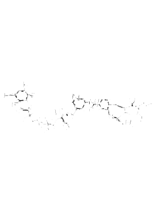 CCCN(CCC)C(=O)C1=Cc2ccc(C(=O)Nc3cncc(CNC(=O)CCC(C)(CC)OCCC(C)(C)C(=O)Oc4c(F)c(F)cc(F)c4F)c3)cc2N=C(N)C1